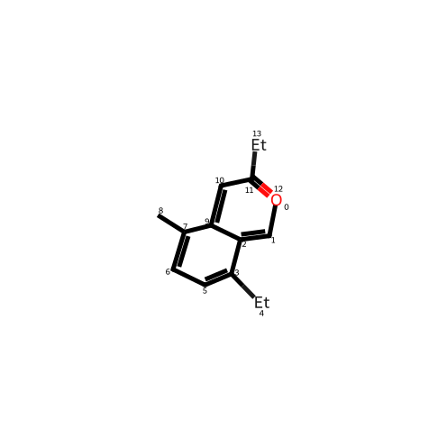 C/C=c1/c(CC)ccc(C)/c1=C/C(=O)CC